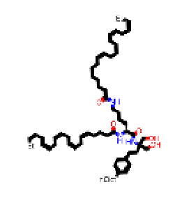 CC/C=C\C/C=C\C/C=C\C/C=C\C/C=C\CCCC(=O)NCCCC[C@H](NC(=O)CCC/C=C\C/C=C\C/C=C\C/C=C\C/C=C\CC)C(=O)NC(CO)(CO)CCc1ccc(CCCCCCCC)cc1